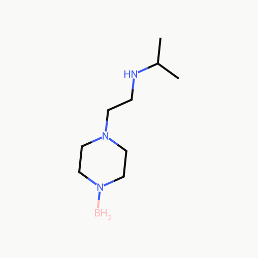 BN1CCN(CCNC(C)C)CC1